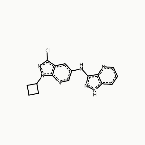 Clc1nn(C2CCC2)c2ncc(Nc3n[nH]c4cccnc34)cc12